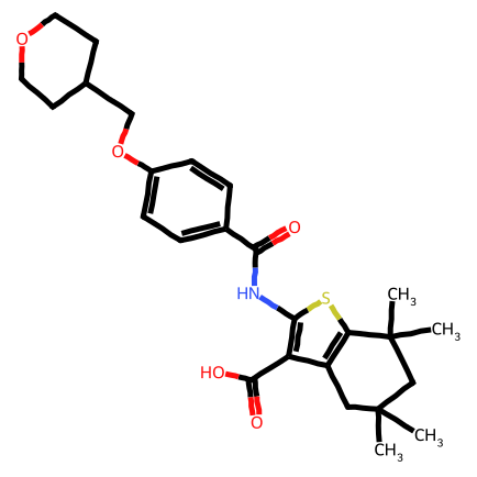 CC1(C)Cc2c(sc(NC(=O)c3ccc(OCC4CCOCC4)cc3)c2C(=O)O)C(C)(C)C1